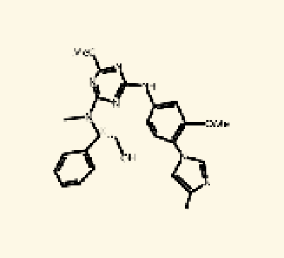 COc1nc(Nc2ccc(-n3cnc(C)c3)c(OC)c2)nc(N(C)[C@H](CO)c2ccccc2)n1